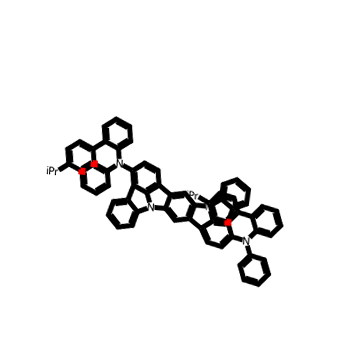 CC(C)c1ccc(-c2ccccc2N(c2ccccc2)c2ccc3c4cc5c(cc4n4c6ccccc6c2c34)c2ccc(N(c3ccccc3)c3ccccc3-c3ccc(C(C)C)cc3)c3c4ccccc4n5c23)cc1